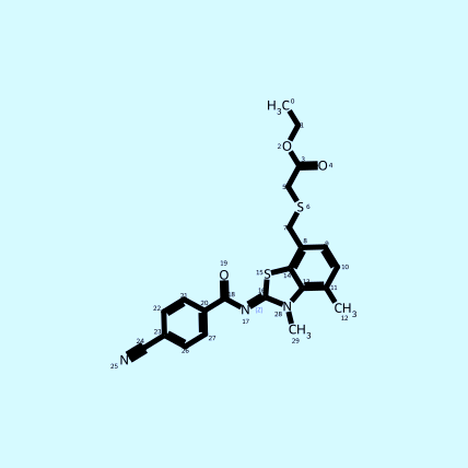 CCOC(=O)CSCc1ccc(C)c2c1s/c(=N\C(=O)c1ccc(C#N)cc1)n2C